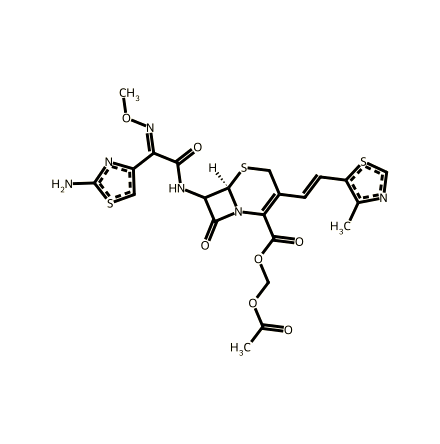 CO/N=C(/C(=O)NC1C(=O)N2C(C(=O)OCOC(C)=O)=C(/C=C/c3scnc3C)CS[C@H]12)c1csc(N)n1